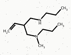 C=CC(CNCCC)CN(C)CCC